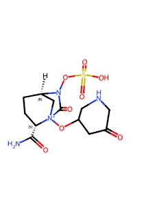 NC(=O)[C@@H]1CC[C@@H]2C[N+]1(OC1CNCC(=O)C1)C(=O)N2OS(=O)(=O)O